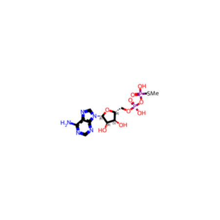 CSP(=O)(O)OP(=O)(O)OC[C@H]1O[C@@H](n2cnc3c(N)ncnc32)[C@H](O)[C@@H]1O